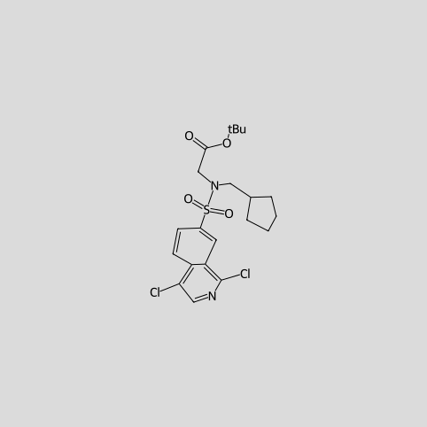 CC(C)(C)OC(=O)CN(CC1CCCC1)S(=O)(=O)c1ccc2c(Cl)cnc(Cl)c2c1